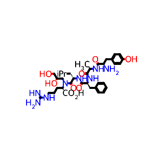 CC(C)C[C@H](NC(=O)[C@H](Cc1ccccc1)NC(=O)[C@H](C)NC(=O)[C@@H](N)Cc1ccc(O)cc1)C(=O)N(CC(O)CO)[C@@H](CCCNC(=N)N)C(=O)O